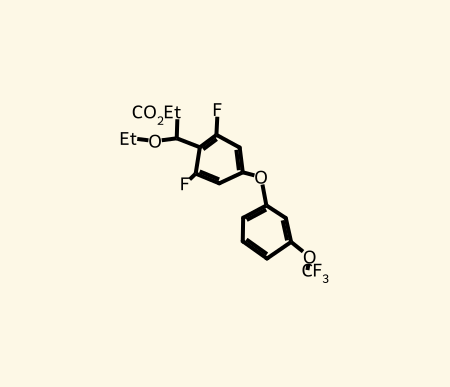 CCOC(=O)C(OCC)c1c(F)cc(Oc2cccc(OC(F)(F)F)c2)cc1F